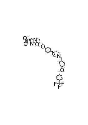 O=[N+]([O-])c1cn2c(n1)O[C@@H](COc1ccc(N3CCN(Cc4ccc(OCc5ccc(C(F)(F)F)cc5)cc4)CC3)cc1)CC2